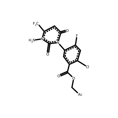 CC(=O)COC(=O)c1cc(-n2c(=O)cc(C(F)(F)F)n(N)c2=O)c(F)cc1Cl